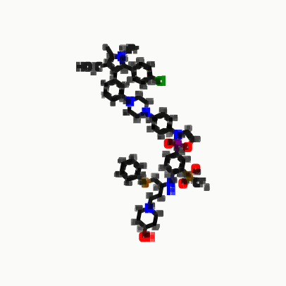 Cc1c(C(=O)O)c(-c2cccc(N3CCN(c4ccc(N5C=COP5(=O)c5ccc(NC(CCN6CCC(O)CC6)CSc6ccccc6)c(S(=O)(=O)C(F)(F)F)c5)cc4)CC3)c2)c(-c2ccc(Cl)cc2)n1C(C)C